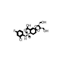 O=C(O)C1=CC2(CC[C@H]1S(=O)(=O)Nc1ccc(F)cc1Cl)O[C@H](CO)[C@@H](CO)O2